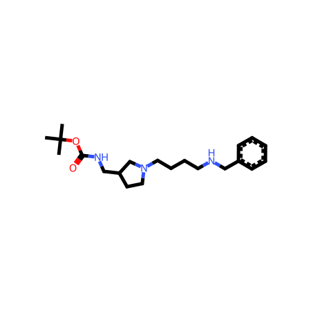 CC(C)(C)OC(=O)NCC1CCN(CCCCNCc2ccccc2)C1